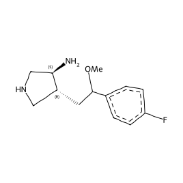 COC(C[C@@H]1CNC[C@H]1N)c1ccc(F)cc1